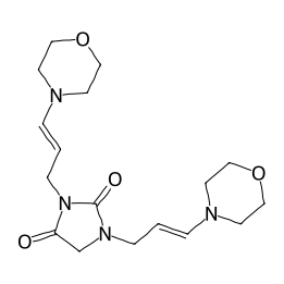 O=C1CN(CC=CN2CCOCC2)C(=O)N1CC=CN1CCOCC1